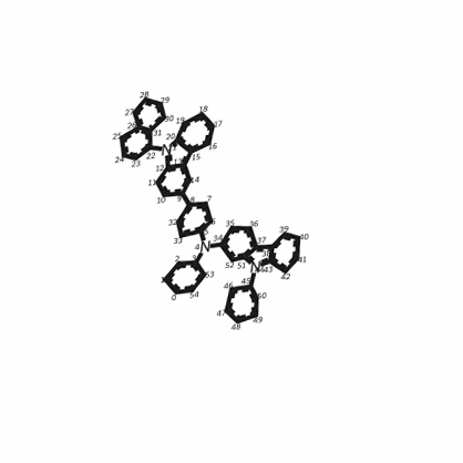 c1ccc(N(c2ccc(-c3ccc4c(c3)c3ccccc3n4-c3cccc4ccccc34)cc2)c2ccc3c4ccccc4n(-c4ccccc4)c3c2)cc1